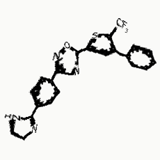 FC(F)(F)c1sc(-c2nc(-c3ccc(C4=NCCN4)cc3)no2)cc1-c1ccccc1